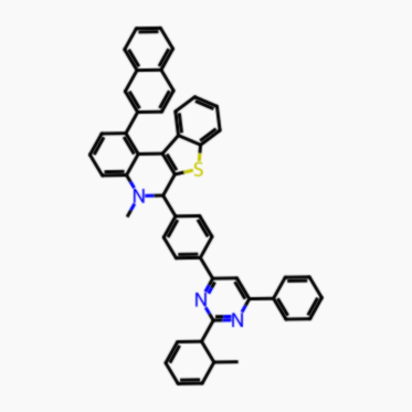 CC1C=CC=CC1c1nc(-c2ccccc2)cc(-c2ccc(C3c4sc5ccccc5c4-c4c(-c5ccc6ccccc6c5)cccc4N3C)cc2)n1